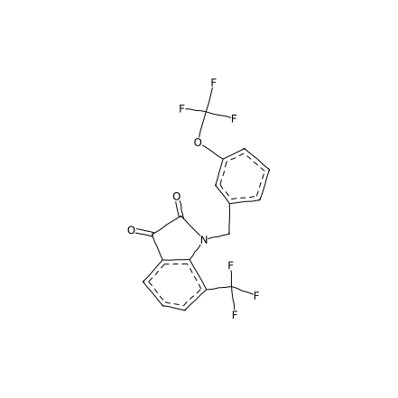 O=C1C(=O)N(Cc2cccc(OC(F)(F)F)c2)c2c1cccc2C(F)(F)F